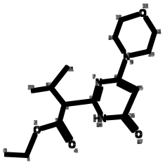 CCOC(=O)C(c1nc(N2CCOCC2)cc(=O)[nH]1)C(C)C